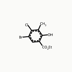 CCOC(=O)c1cc(Br)c(Cl)c(C)c1O